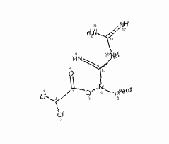 CCCCCN(OC(=O)C(Cl)Cl)C(=N)NC(=N)N